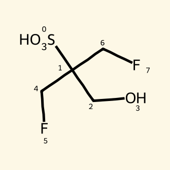 O=S(=O)(O)C(CO)(CF)CF